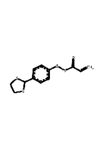 C=CC(=O)SSc1ccc(C2SCCS2)cc1